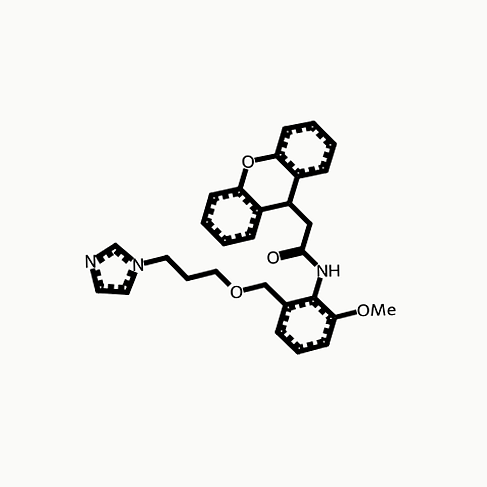 COc1cccc(COCCCn2ccnc2)c1NC(=O)CC1c2ccccc2Oc2ccccc21